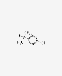 Cc1cc(Cl)ccc1C(F)(C(F)(F)F)C(F)(F)F